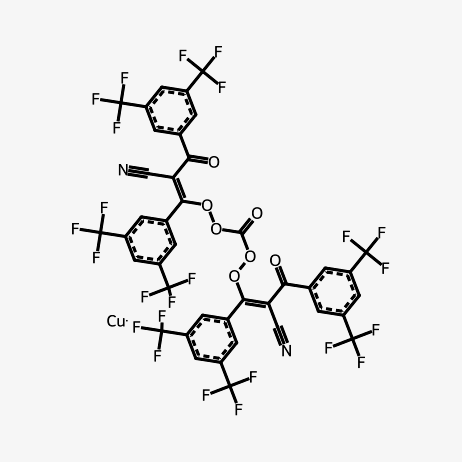 N#C/C(C(=O)c1cc(C(F)(F)F)cc(C(F)(F)F)c1)=C(/OOC(=O)OO/C(=C(/C#N)C(=O)c1cc(C(F)(F)F)cc(C(F)(F)F)c1)c1cc(C(F)(F)F)cc(C(F)(F)F)c1)c1cc(C(F)(F)F)cc(C(F)(F)F)c1.[Cu]